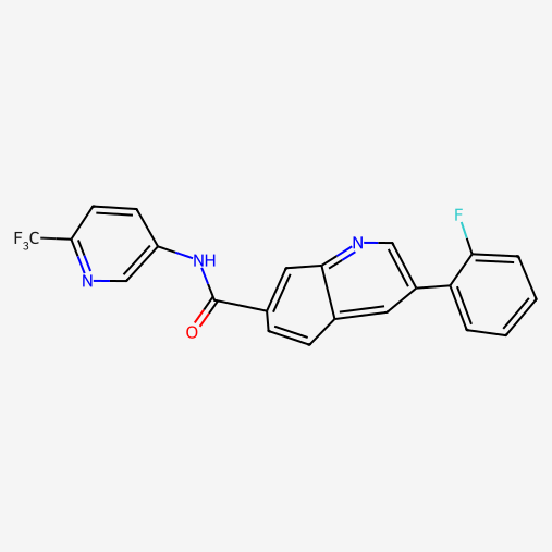 O=C(Nc1ccc(C(F)(F)F)nc1)c1ccc2cc(-c3ccccc3F)cnc2c1